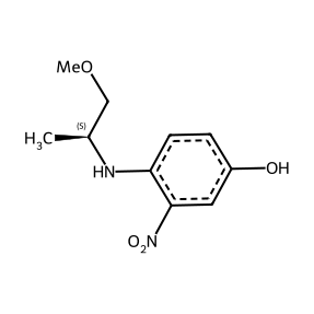 COC[C@H](C)Nc1ccc(O)cc1[N+](=O)[O-]